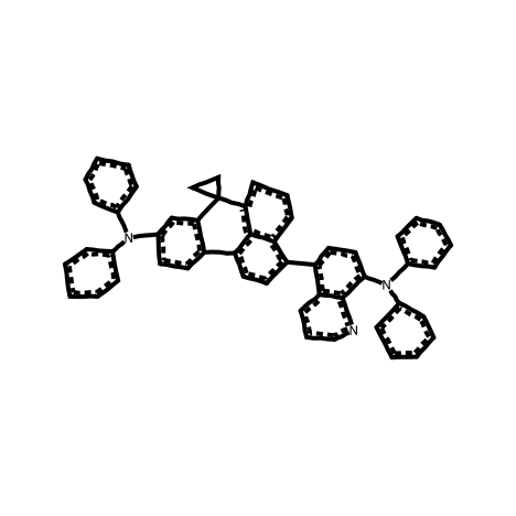 c1ccc(N(c2ccccc2)c2ccc3c(c2)C2(CC2)c2cccc4c(-c5ccc(N(c6ccccc6)c6ccccc6)c6ncccc56)ccc-3c24)cc1